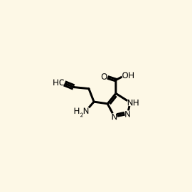 C#CCC(N)c1nn[nH]c1C(=O)O